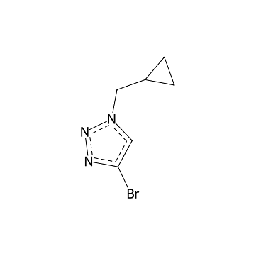 Brc1cn(CC2CC2)nn1